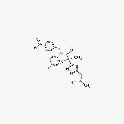 CCN(CC)c1ccc(CN(C(=O)C(C)(C)n2cc(CN(C)C)nn2)c2ccc(F)cc2)cn1